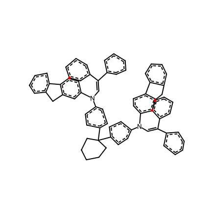 C(=C(c1ccccc1)c1ccccc1)N(c1ccc(C2(c3ccc(N(C=C(c4ccccc4)c4ccccc4)c4ccc5c(c4)Cc4ccccc4-5)cc3)CCCCC2)cc1)c1ccc2c(c1)Cc1ccccc1-2